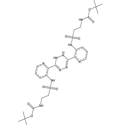 CC(C)(C)OC(=O)NCCS(=O)(=O)Nc1cccnc1C1=NN=C(c2ncccc2NS(=O)(=O)CCNC(=O)OC(C)(C)C)NN1